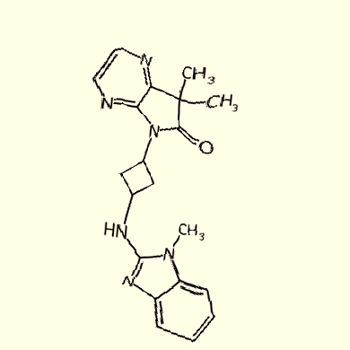 Cn1c(NC2CC(N3C(=O)C(C)(C)c4nccnc43)C2)nc2ccccc21